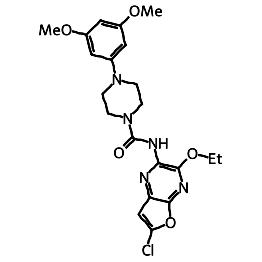 CCOc1nc2oc(Cl)cc2nc1NC(=O)N1CCN(c2cc(OC)cc(OC)c2)CC1